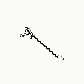 CCCCCCCCCCCCCCCCCC(=O)OC(COC)COC=O